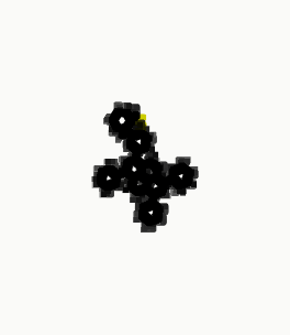 CC12CCCCC1(C)c1cc(-c3cc(-c4ccccc4)c4ccc5c(-c6ccccc6)cc(-c6ccccc6)c6ccc3c4c56)ccc1S2